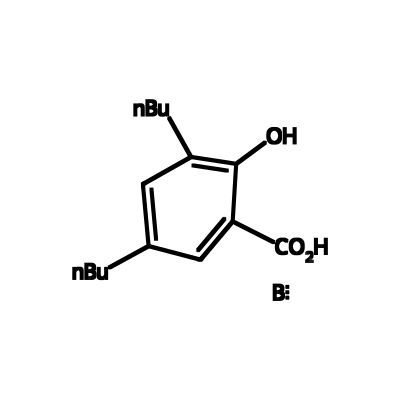 CCCCc1cc(CCCC)c(O)c(C(=O)O)c1.[B]